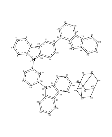 c1cc(-n2c3ccccc3c3cc(-c4cccc5c4oc4ccccc45)ccc32)nc(-n2c3ccccc3c3cc(C45CC6CC(CC(C6)C4)C5)ccc32)c1